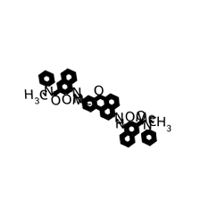 COc1c(C(=O)N(C)c2ccccc2)cc2ccccc2c1N=Nc1ccc2c(c1)C(=O)c1cccc3c(N=Nc4c(OC)c(C(=O)N(C)c5ccccc5)cc5ccccc45)ccc-2c13